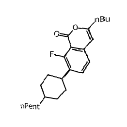 CCCCCC1CCC(c2ccc3cc(CCCC)oc(=O)c3c2F)CC1